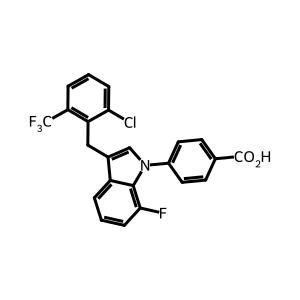 O=C(O)c1ccc(-n2cc(Cc3c(Cl)cccc3C(F)(F)F)c3cccc(F)c32)cc1